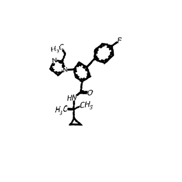 CCc1nccn1-c1cc(C(=O)NC(C)(C)C2CC2)cc(-c2ccc(F)cc2)c1